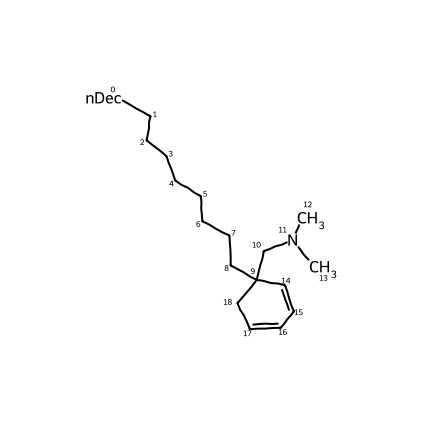 CCCCCCCCCCCCCCCCCCC1(CN(C)C)C=CC=CC1